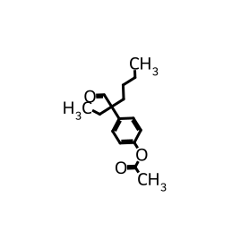 CCCCC(C=O)(CC)c1ccc(OC(C)=O)cc1